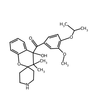 COc1cc(C(=O)C2(O)c3ccccc3OC3(CCNCC3)C2(C)C)ccc1OC(C)C